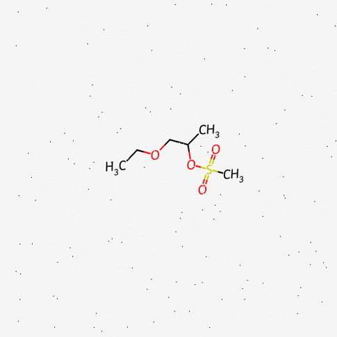 CCOCC(C)OS(C)(=O)=O